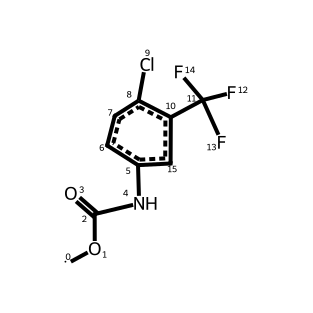 [CH2]OC(=O)Nc1ccc(Cl)c(C(F)(F)F)c1